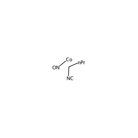 O=[N][Co].[C-]#[N+]CCCC